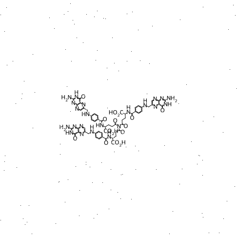 Nc1nc2ncc(CNc3ccc(C(=O)N[C@@H](CCC(=O)N(C(=O)CC[C@H](NC(=O)c4ccc(NCc5cnc6nc(N)[nH]c(=O)c6n5)cc4)C(=O)O)C(=O)CC[C@H](NC(=O)c4ccc(NCc5cnc6nc(N)[nH]c(=O)c6n5)cc4)C(=O)O)C(=O)O)cc3)nc2c(=O)[nH]1